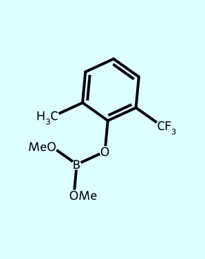 COB(OC)Oc1c(C)cccc1C(F)(F)F